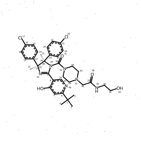 CC(C)(C)c1cc(O)c(C2=N[C@@](C)(c3ccc(Cl)cc3)[C@@](C)(c3ccc(Cl)cc3)N2C(=O)N2CCN(CC(=O)NCCO)CC2)cn1